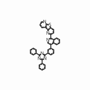 c1ccc(-c2nc(-c3ccccc3)nc(-c3cccc(-c4cnc(-c5ccc6sc7ncccc7c6n5)c5ccccc45)c3)n2)cc1